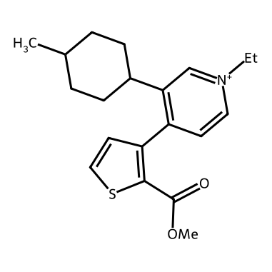 CC[n+]1ccc(-c2ccsc2C(=O)OC)c(C2CCC(C)CC2)c1